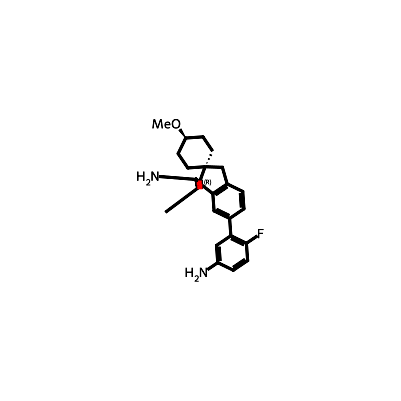 CO[C@H]1CC[C@]2(CC1)Cc1ccc(-c3cc(N)ccc3F)cc1[C@@]21N=C(C)C(N)=N1